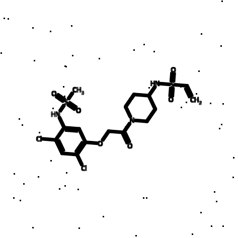 C=CS(=O)(=O)NC1CCN(C(=O)COc2cc(NS(C)(=O)=O)c(Cl)cc2Cl)CC1